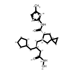 Cc1cnc(NC(=O)[C@@H]2CC3(CC3)CN2C[C@@H](CC(=O)NO)CC2CCCC2)s1